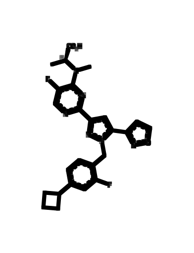 C[C@@H](C(=O)O)N(C)c1nc(-c2cc(-c3ccon3)n(Cc3ccc(C4CCC4)cc3F)n2)ncc1F